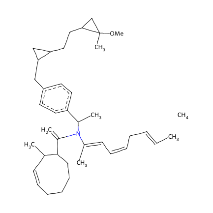 C.C=C(C1CCCCC=CC1C)N(/C(C)=C/C=C\C/C=C/C)C(C)c1ccc(CC2CC2CCC2CC2(C)OC)cc1